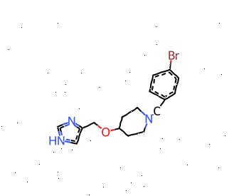 Brc1ccc(CN2CCC(OCc3c[nH]cn3)CC2)cc1